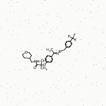 C/C(=N\OCc1ccc(C(F)(F)F)cc1)c1ccc(OC(C)(C)C(=O)NCC2CCOCC2)cc1